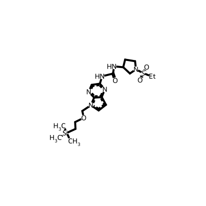 CCS(=O)(=O)N1CCC(NC(=O)Nc2cnc3c(ccn3COCC[Si](C)(C)C)n2)C1